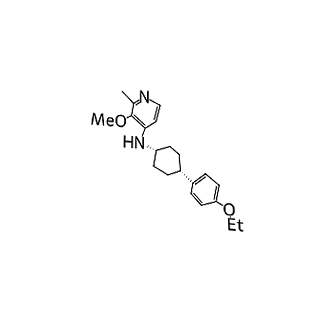 CCOc1ccc([C@H]2CC[C@@H](Nc3ccnc(C)c3OC)CC2)cc1